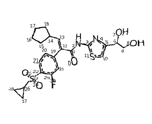 O=C(Nc1nc(C(O)CO)cs1)/C(=C/C1CCCC1)c1ccc(S(=O)(=O)C2CC2)c(F)c1